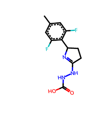 Cc1cc(F)c(C2CCC(NNC(=O)O)=N2)c(F)c1